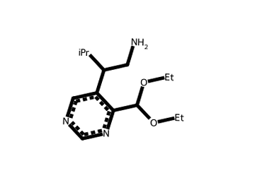 CCOC(OCC)c1ncncc1C(CN)C(C)C